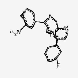 Nc1cccc(-c2cn3c(-c4cccc(F)c4)cnc3cn2)c1